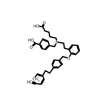 C#C/C=C\C(=C/C)CCc1ccc(COc2ccccc2CCN(CCCCC(=O)O)Cc2ccc(C(=O)O)cc2)cc1